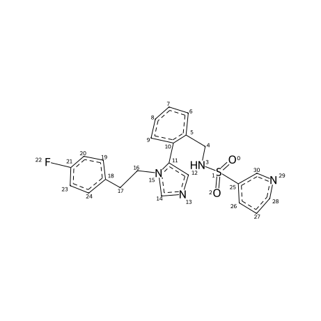 O=S(=O)(NCc1ccccc1-c1cncn1CCc1ccc(F)cc1)c1cccnc1